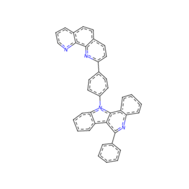 c1ccc(-c2nc3ccccc3c3c2c2ccccc2n3-c2ccc(-c3ccc4ccc5cccnc5c4n3)cc2)cc1